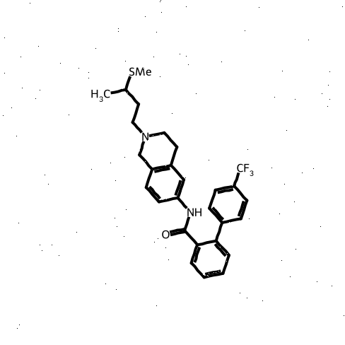 CSC(C)CCN1CCc2cc(NC(=O)c3ccccc3-c3ccc(C(F)(F)F)cc3)ccc2C1